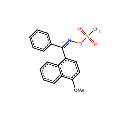 COc1ccc(/C(=N\OS(=O)(=O)C(F)(F)F)c2ccccc2)c2ccccc12